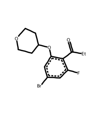 CCC(=O)c1c(F)cc(Br)cc1OC1CCOCC1